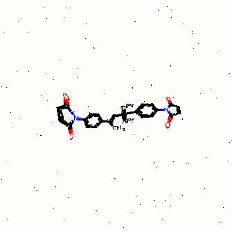 CCCC(C=C(C)c1ccc(N2C(=O)C=CC2=O)cc1)(CCC)c1ccc(N2C(=O)C=CC2=O)cc1